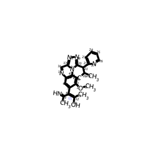 COc1cc2c(cc1/C(C(C)=N)=C(\C)O)ncc1nnc(C(c3ccccn3)C(C)C)n12